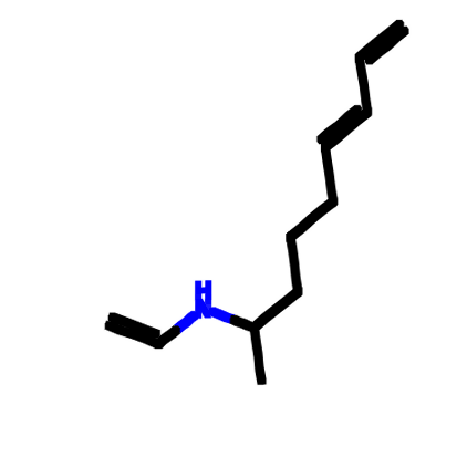 C=C/C=C/CCCC(C)NC=C